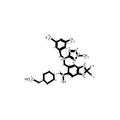 CCN(C[C@H]1CC[C@H](CC(=O)O)CC1)c1cc2c(cc1CN(Cc1cc(C(F)(F)F)cc(C(F)(F)F)c1)c1nnn(C)n1)OC(F)(F)O2